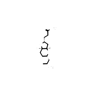 CC[C@]12C[C@H](CCC(=O)OC)O[C@H]1CC[C@H](C[C@@H](C)C#N)O2